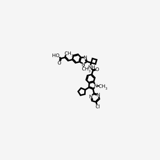 C/C(=C\c1ccc2nc(C3(NC(=O)c4ccc5c(C6CCCC6)c(-c6ncc(Cl)cn6)n(C)c5c4)CCC3)n(C)c2c1)C(=O)O